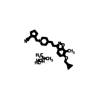 CNC.Cc1c(OCC2CC2)ccc2c(CCC3CCN(CC4=C(C#N)CCC4)CC3)noc12.Cl.Cl